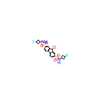 O=C1c2cc(S(=O)(=O)NC3CC(F)C3)ccc2-c2ccc(S(=O)(=O)NC3CC(F)C3)cc21